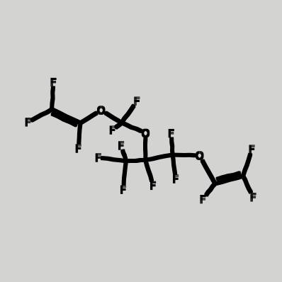 FC(F)=C(F)OC(F)(F)OC(F)(C(F)(F)F)C(F)(F)OC(F)=C(F)F